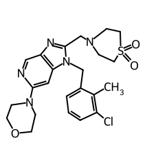 Cc1c(Cl)cccc1Cn1c(CN2CCS(=O)(=O)CC2)nc2cnc(N3CCOCC3)cc21